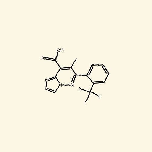 Cc1c(-c2ccccc2C(F)(F)F)nn2ccnc2c1C(=O)O